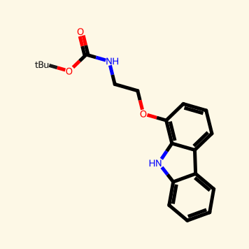 CC(C)(C)OC(=O)NCCOc1cccc2c1[nH]c1ccccc12